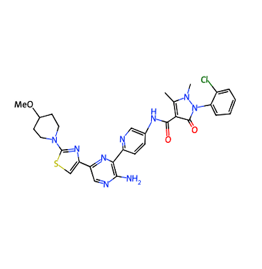 COC1CCN(c2nc(-c3cnc(N)c(-c4ccc(NC(=O)c5c(C)n(C)n(-c6ccccc6Cl)c5=O)cn4)n3)cs2)CC1